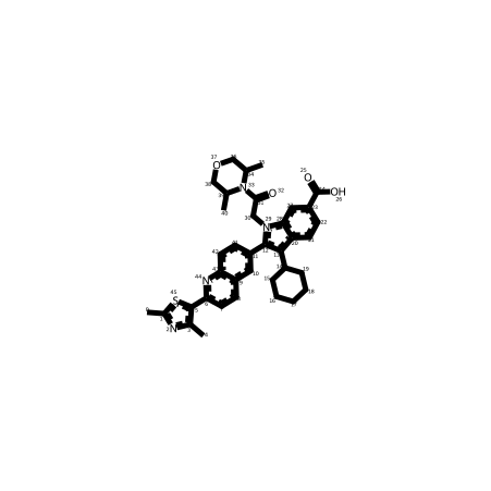 Cc1nc(C)c(-c2ccc3cc(-c4c(C5CCCCC5)c5ccc(C(=O)O)cc5n4CC(=O)N4C(C)COCC4C)ccc3n2)s1